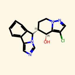 O[C@H]1c2c(Cl)cnn2CC[C@H]1C1c2ccccc2-c2cncn21